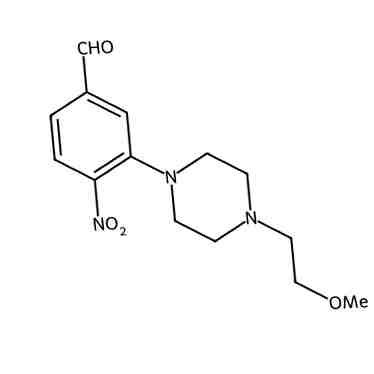 COCCN1CCN(c2cc(C=O)ccc2[N+](=O)[O-])CC1